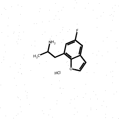 CC(N)Cc1cc(F)cc2ccoc12.Cl